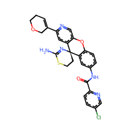 NC1=N[C@@]2(CCS1)c1cc(NC(=O)c3ccc(Cl)cn3)ccc1Oc1cnc(C3=CCCOC3)cc12